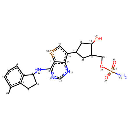 Cc1cccc2c1CCC2Nc1ncnc2c(C3CC(O)C(COS(N)(=O)=O)C3)csc12